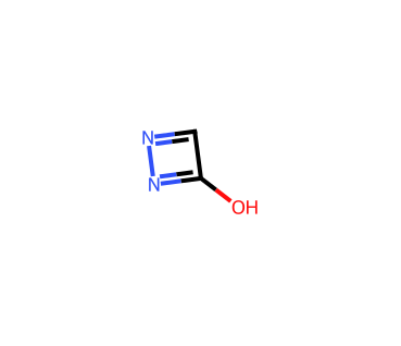 OC1=NN=C1